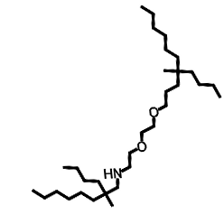 CCCCCCC(C)(CCCC)CCCOCCOCCNCC(C)(CCCC)CCCCCC